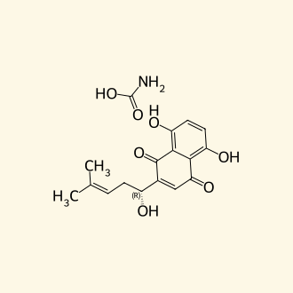 CC(C)=CC[C@@H](O)C1=CC(=O)c2c(O)ccc(O)c2C1=O.NC(=O)O